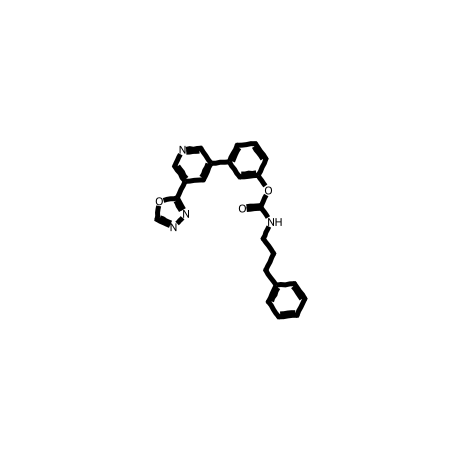 O=C(NCCCc1ccccc1)Oc1cccc(-c2cncc(-c3nnco3)c2)c1